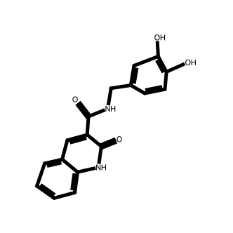 O=C(NCc1ccc(O)c(O)c1)c1cc2ccccc2[nH]c1=O